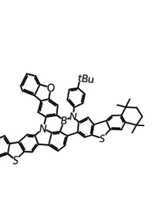 CC(C)(C)c1ccc(N2B3c4cc5oc6ccccc6c5cc4-n4c5cc6c(cc5c5ccc(c3c54)-c3cc4sc5cc7c(cc5c4cc32)C(C)(C)CCC7(C)C)sc2ccccc26)cc1